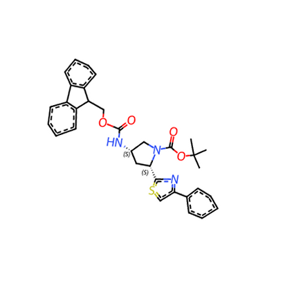 CC(C)(C)OC(=O)N1C[C@@H](NC(=O)OCC2c3ccccc3-c3ccccc32)C[C@H]1c1nc(-c2ccccc2)cs1